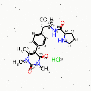 Cc1c(-c2ccc(C[C@H](NC(=O)C3CCCN3)C(=O)O)cc2)c(=O)n(C)c(=O)n1C.Cl